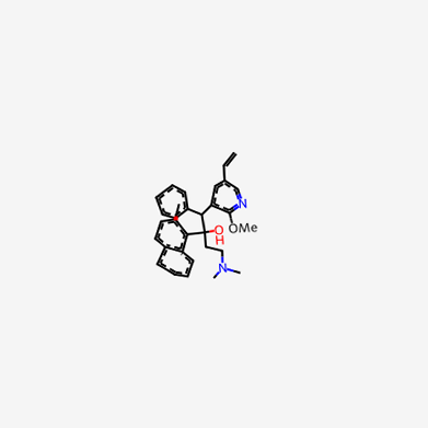 C=Cc1cnc(OC)c(C(c2ccccc2)C(O)(CCN(C)C)c2c(C)ccc3ccccc23)c1